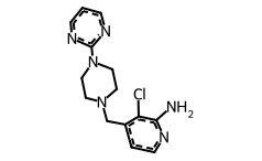 Nc1nccc(CN2CCN(c3ncccn3)CC2)c1Cl